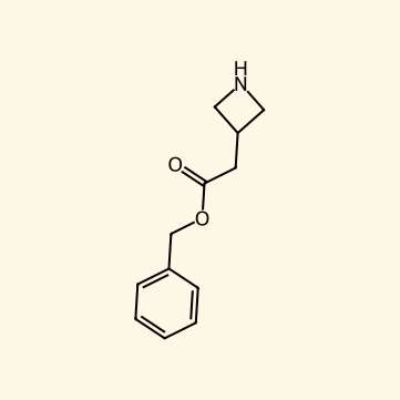 O=C(CC1CNC1)OCc1ccccc1